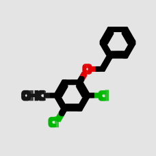 O=Cc1cc(OCc2ccccc2)c(Cl)cc1Cl